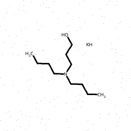 CCCCN(CCCC)CCCO.[KH]